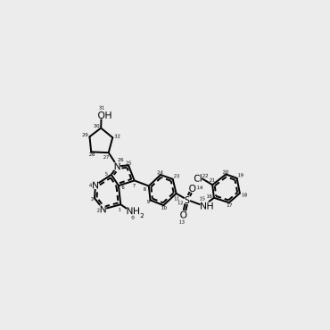 Nc1ncnc2c1c(-c1ccc(S(=O)(=O)Nc3ccccc3Cl)cc1)cn2C1CCC(O)C1